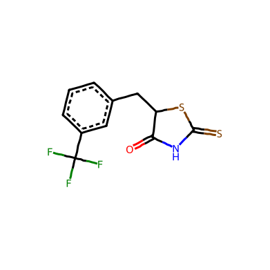 O=C1NC(=S)SC1Cc1cccc(C(F)(F)F)c1